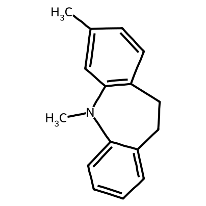 Cc1ccc2c(c1)N(C)c1ccccc1CC2